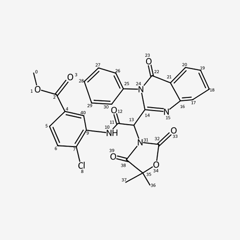 COC(=O)c1ccc(Cl)c(NC(=O)C(c2nc3ccccc3c(=O)n2-c2ccccc2)N2C(=O)OC(C)(C)C2=O)c1